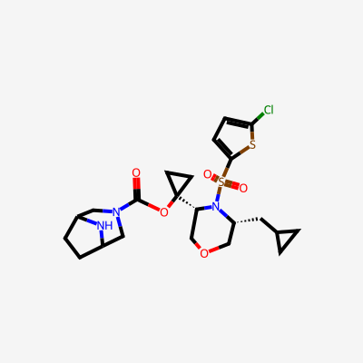 O=C(OC1([C@H]2COC[C@@H](CC3CC3)N2S(=O)(=O)c2ccc(Cl)s2)CC1)N1CC2CCC(C1)N2